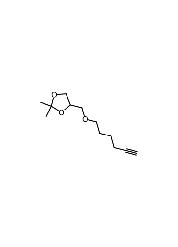 C#CCCCCOCC1COC(C)(C)O1